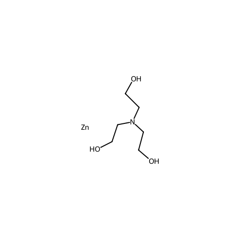 OCCN(CCO)CCO.[Zn]